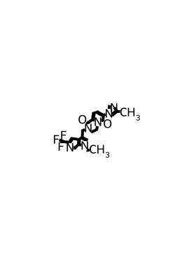 CCn1cc(CN2CCn3c(ccc(-n4cnc(C)c4)c3=O)C2=O)c2cc(C(F)(F)F)ncc21